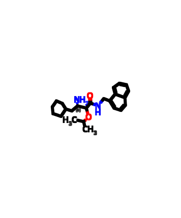 CC(C)OC(C(=O)NCc1cccc2ccccc12)[C@H](N)CC1CCCCC1